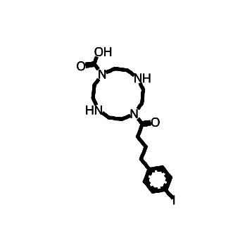 O=C(O)N1CCNCCN(C(=O)CCCc2ccc(I)cc2)CCNCC1